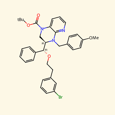 COc1ccc(CN2c3ncccc3N(C(=O)OC(C)(C)C)C[C@@H]2[C@H](OCCc2cccc(Br)c2)c2ccccc2)cc1